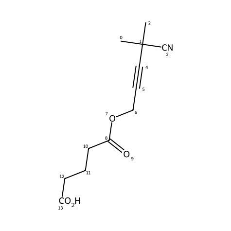 CC(C)(C#N)C#CCOC(=O)CCCC(=O)O